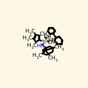 CC1=C(C)C(C)[C]([Ti]([NH]C23CC4(C)CC(C)(CC(C)(C4)C2)C3)[SiH](C)C)=C1C.c1ccc(-c2ccccc2)cc1